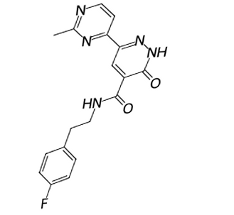 Cc1nccc(-c2cc(C(=O)NCCc3ccc(F)cc3)c(=O)[nH]n2)n1